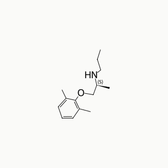 CCCN[C@@H](C)COc1c(C)cccc1C